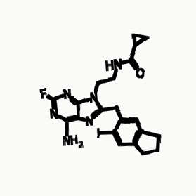 Nc1nc(F)nc2c1nc(Cc1cc3c(cc1I)CCC3)n2CCNC(=O)C1CC1